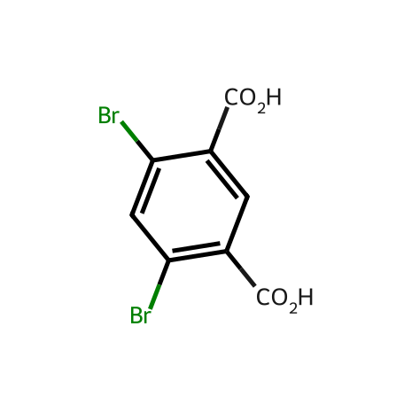 O=C(O)c1cc(C(=O)O)c(Br)cc1Br